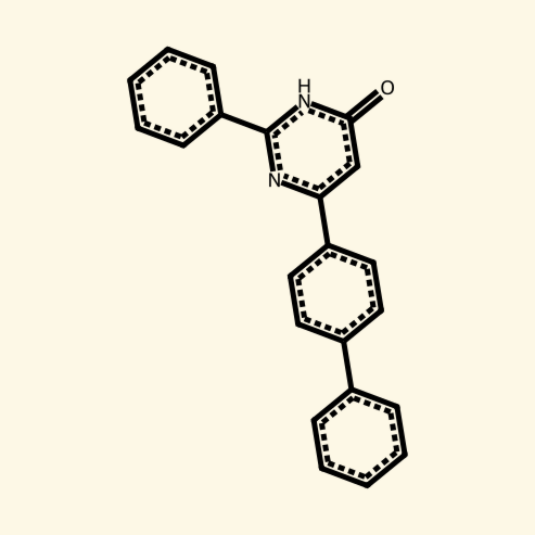 O=c1cc(-c2ccc(-c3ccccc3)cc2)nc(-c2ccccc2)[nH]1